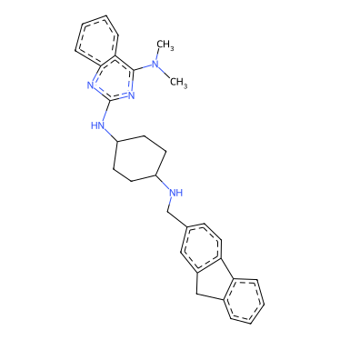 CN(C)c1nc(NC2CCC(NCc3ccc4c(c3)Cc3ccccc3-4)CC2)nc2ccccc12